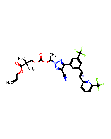 C=CCOC(=O)C(C)(C)COC(=O)OC(C)n1nc(C#N)c(-c2cc(/C=C/c3cccc(C(F)(F)F)n3)cc(C(F)(F)F)c2)n1